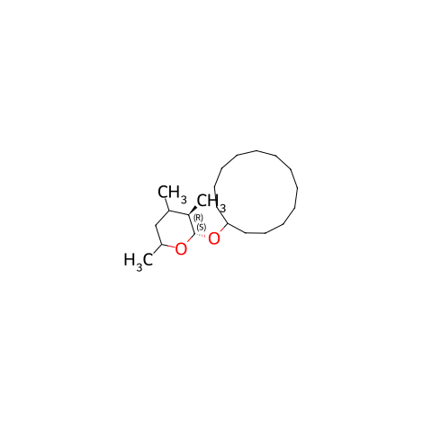 CC1CC(C)[C@@H](C)[C@H](OC2CCCCCCCCCCCC2)O1